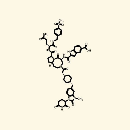 Cn1c(=O)n(C2CCC(=O)NC2=O)c2ccc(C[C@H]3CC[C@@H](CC(=O)N4CC[C@H]5CC[C@@H](C(=O)N[C@@H](CCC(N)=O)C(=O)NCc6ccc(S(C)(=O)=O)cc6)N5C(=O)[C@@H](NC(=O)c5cc6cc(C(=O)O)ccc6[nH]5)C4)CC3)cc21